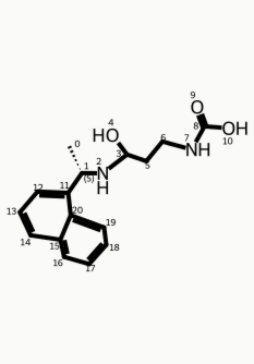 C[C@H](NC(O)CCNC(=O)O)c1cccc2ccccc12